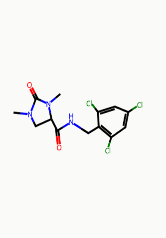 CN1CC(C(=O)NCc2c(Cl)cc(Cl)cc2Cl)N(C)C1=O